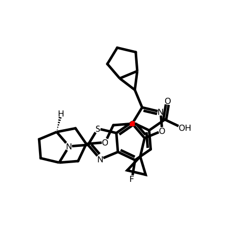 O=C(O)c1cc(F)c2nc(N3C4CC[C@H]3CC(OCc3c(C5C6CCCC65)noc3C3CC3)C4)sc2c1